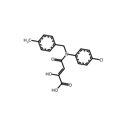 Cc1ccc(CN(C(=O)C=C(O)C(=O)O)c2ccc(Cl)cc2)cc1